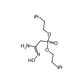 CC(C)CCOP(=O)(CC(N)=NO)OCCC(C)C